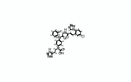 O=C(/C=C/c1cc(Cl)ccc1-n1cnnn1)N[C@@H](Cc1ccccc1)C(=O)Nc1ccc(N(CCc2nnn[nH]2)C(=O)O)cc1